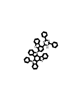 c1ccc(C2=NC(c3ccc(-n4c5ccccc5c5c6c(c7ccccc7n6-c6ccccc6)c6sc7ccccc7c6c54)c4oc5ccccc5c34)NC(c3ccccc3)=N2)cc1